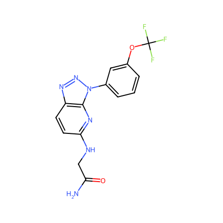 NC(=O)CNc1ccc2nnn(-c3cccc(OC(F)(F)F)c3)c2n1